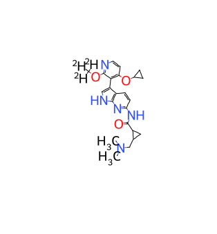 [2H]C([2H])([2H])Oc1nccc(OC2CC2)c1-c1c[nH]c2nc(NC(=O)C3CC3CN(C)C)ccc12